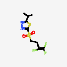 CC(C)c1nnc(S(=O)(=O)CCC(F)=C(F)F)s1